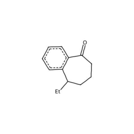 CCC1CCCC(=O)c2ccccc21